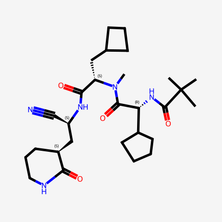 CN(C(=O)[C@H](NC(=O)C(C)(C)C)C1CCCC1)[C@@H](CC1CCC1)C(=O)N[C@H](C#N)C[C@@H]1CCCNC1=O